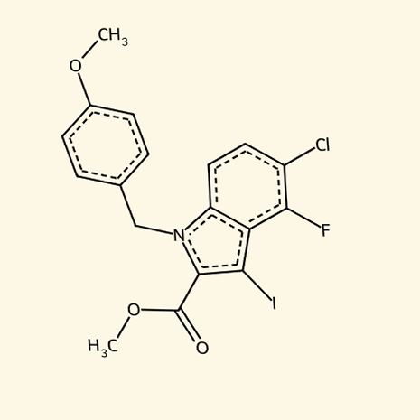 COC(=O)c1c(I)c2c(F)c(Cl)ccc2n1Cc1ccc(OC)cc1